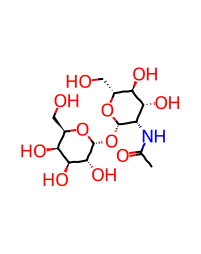 CC(=O)N[C@@H]1[C@H](O[C@H]2O[C@H](CO)[C@H](O)[C@H](O)[C@H]2O)O[C@H](CO)[C@@H](O)[C@@H]1O